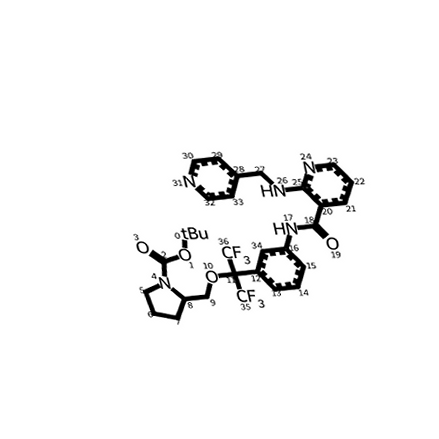 CC(C)(C)OC(=O)N1CCCC1COC(c1cccc(NC(=O)c2cccnc2NCc2ccncc2)c1)(C(F)(F)F)C(F)(F)F